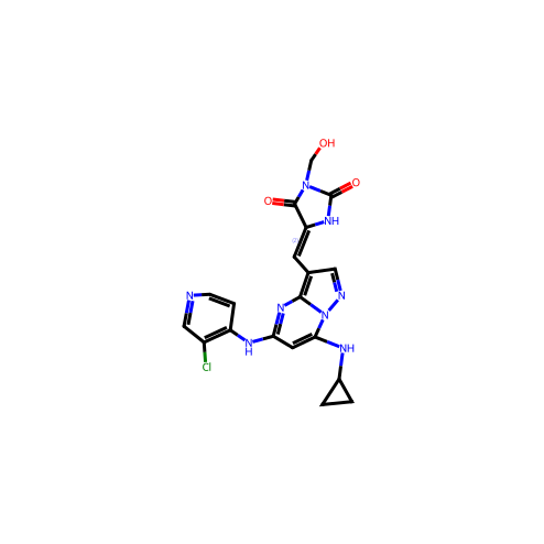 O=C1N/C(=C\c2cnn3c(NC4CC4)cc(Nc4ccncc4Cl)nc23)C(=O)N1CO